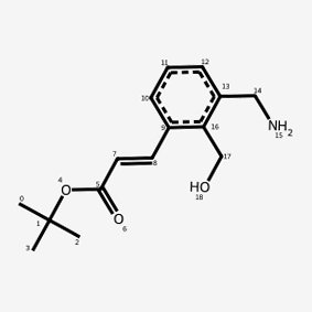 CC(C)(C)OC(=O)/C=C/c1cccc(CN)c1CO